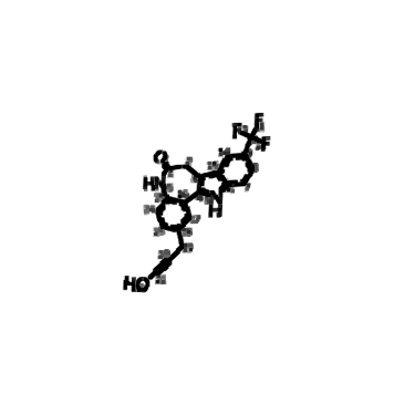 O=C1Cc2c([nH]c3ccc(C(F)(F)F)cc23)-c2cc(CC#CO)ccc2N1